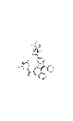 CC1CN(C(=O)C2=Cc3ccccc3-c3c(C4CCCCC4)c4ccc(C(=O)NS(=O)(=O)N(C)C)cc4n3C2)CC(C)N1